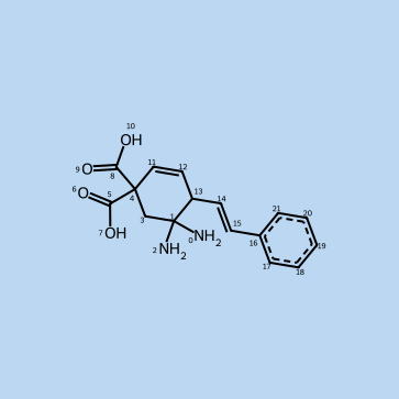 NC1(N)CC(C(=O)O)(C(=O)O)C=CC1C=Cc1ccccc1